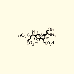 C[C@H](NC(=O)[C@H](CC(=O)O)NC(=O)[C@@H](N)CO)C(=O)N[C@@H](CCC(=O)O)C(=O)O